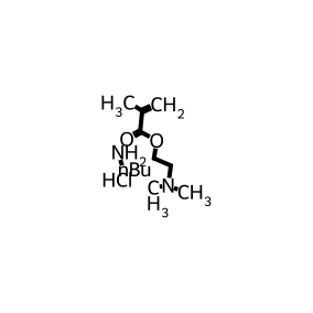 C=C(C)C(=O)OCCN(C)C.CCCCN.Cl